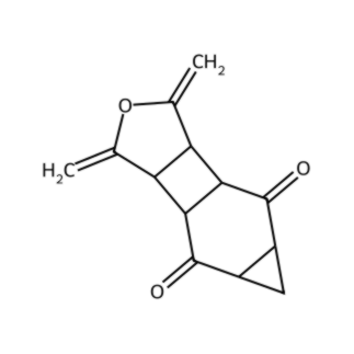 C=C1OC(=C)C2C1C1C(=O)C3CC3C(=O)C21